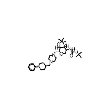 CC(C)(C)OC(=O)N[C@H]1CO[C@H](CN2CCN(CC3CCN(c4ccccc4)CC3)CC2)[C@@H]2OC(C)(C)O[C@@H]21